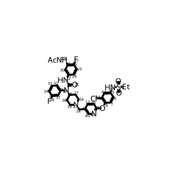 CCS(=O)(=O)Nc1ccc(Oc2ccc(CN3CCC(N(C(=O)Nc4ccc(F)c(NC(C)=O)c4)c4cccc(F)c4)CC3)cn2)c(Cl)c1